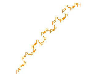 P#P=P\P=P/P=P\P=P/P=P\P=P/P=P\P=P/P=P\P=P/P=P